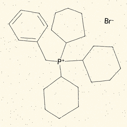 [Br-].c1ccc(C[P+](C2CCCCC2)(C2CCCCC2)C2CCCCC2)cc1